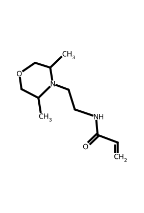 C=CC(=O)NCCN1C(C)COCC1C